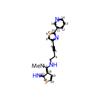 CN/C(NCCC#Cc1csc(-c2cccnc2)n1)=C1/C=CSC1=N